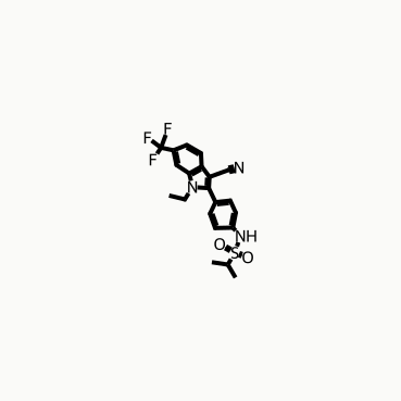 CCn1c(-c2ccc(NS(=O)(=O)C(C)C)cc2)c(C#N)c2ccc(C(F)(F)F)cc21